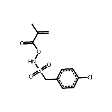 C=C(C)C(=O)ONS(=O)(=O)Cc1ccc(Cl)cc1